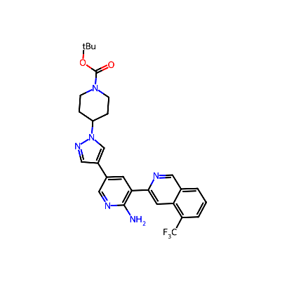 CC(C)(C)OC(=O)N1CCC(n2cc(-c3cnc(N)c(-c4cc5c(C(F)(F)F)cccc5cn4)c3)cn2)CC1